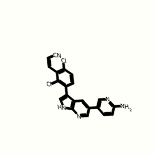 N#C/C=C\c1c(Cl)ccc(-c2c[nH]c3ncc(-c4ccc(N)nc4)cc23)c1Cl